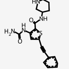 NC(=O)Nc1cc(C#Cc2ccccc2)sc1C(=O)NC1CCCNC1